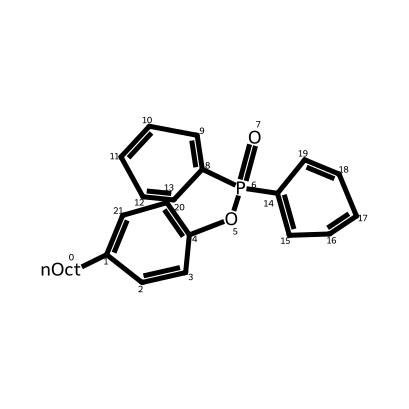 CCCCCCCCc1ccc(OP(=O)(c2ccccc2)c2ccccc2)cc1